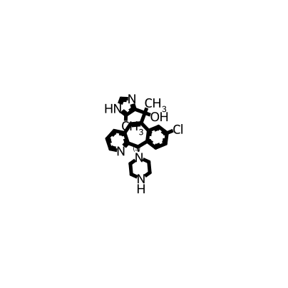 Cc1[nH]cnc1C(C)(O)C1=Cc2cccnc2[C@@H](N2CCNCC2)c2ccc(Cl)cc21